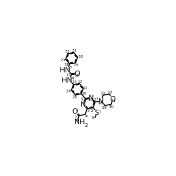 CSc1c(CC(N)=O)nc(-c2ccc(NC(=O)Nc3ccccc3)cc2)nc1N1CCOCC1